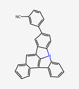 N#Cc1cccc(-c2ccc3c(c2)c2cc4ccccc4c4c5ccccc5n3c24)c1